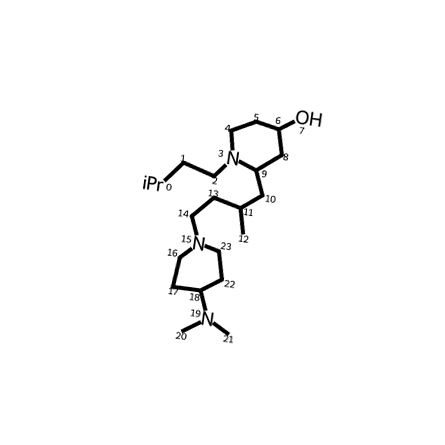 CC(C)CCN1CCC(O)CC1CC(C)CCN1CCC(N(C)C)CC1